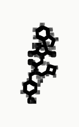 C[C@@H](C1CCC1)N(Cc1ccc(C#N)cc1)C(=O)CN1C(=O)N[C@]2(CCc3ccccc32)C1=O